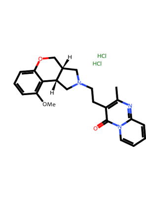 COc1cccc2c1[C@H]1CN(CCc3c(C)nc4ccccn4c3=O)C[C@H]1CO2.Cl.Cl